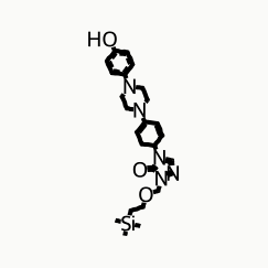 C[Si](C)(C)CCOCn1ncn(C2C=CC(N3CCN(c4ccc(O)cc4)CC3)=CC2)c1=O